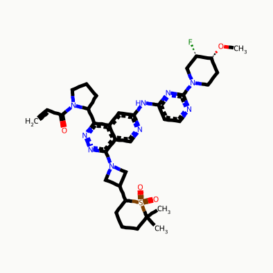 C=CC(=O)N1CCCC1c1nnc(N2CC(C3CCCC(C)(C)S3(=O)=O)C2)c2cnc(Nc3ccnc(N4CC[C@@H](OC)[C@@H](F)C4)n3)cc12